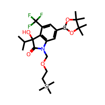 CC(C)C1(O)C(=O)N(COCC[Si](C)(C)C)c2cc(B3OC(C)(C)C(C)(C)O3)cc(C(F)(F)F)c21